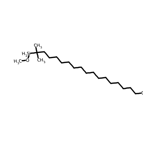 CCCCCCCCCCCCCCCCCC(C)(C)[SiH2]OC